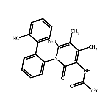 CCCCc1c(C)c(C)c(NC(=O)CCC)c(=O)n1-c1ccccc1-c1ccccc1C#N